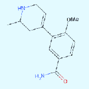 COc1ccc(C(N)=O)cc1C1=CCNC(C)C1